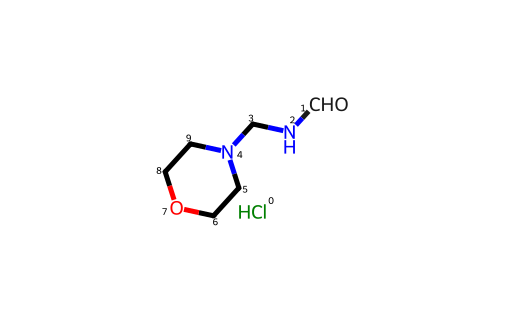 Cl.O=CNCN1CCOCC1